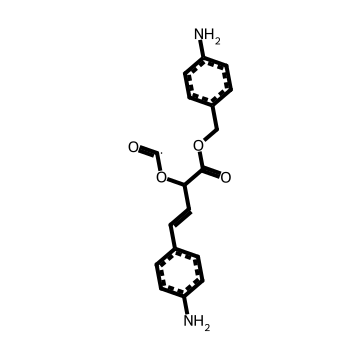 Nc1ccc(C=CC(O[C]=O)C(=O)OCc2ccc(N)cc2)cc1